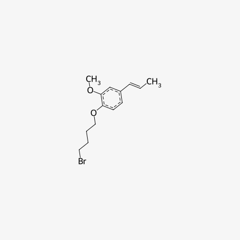 CC=Cc1ccc(OCCCCBr)c(OC)c1